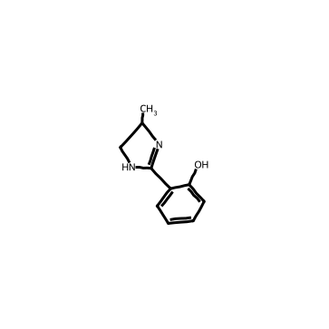 CC1CNC(c2ccccc2O)=N1